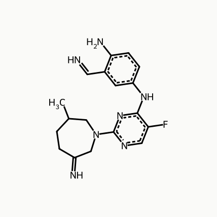 CC1CCC(=N)CN(c2ncc(F)c(Nc3ccc(N)c(C=N)c3)n2)C1